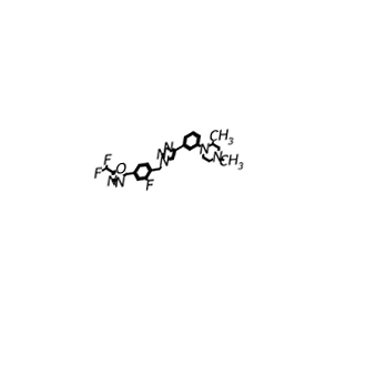 C[C@H]1CN(C)CCN1c1cccc(-c2cn(Cc3ccc(-c4nnc(C(F)F)o4)cc3F)nn2)c1